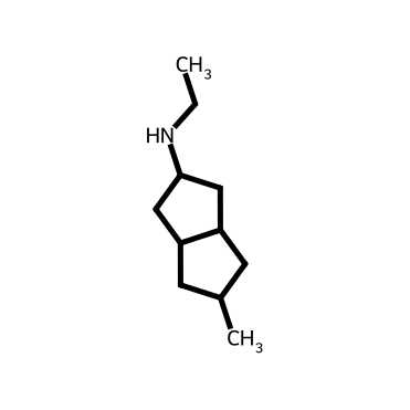 CCNC1CC2CC(C)CC2C1